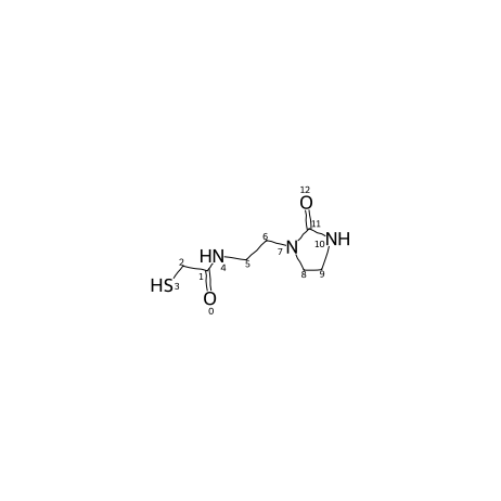 O=C(CS)NCCN1CCNC1=O